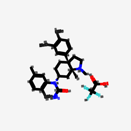 COc1ccc([C@@]23CC[C@@H](N(C(N)=O)c4cc(C)ccc4OC)C[C@@H]2N(C)CC3)cc1OC.O=C(O)C(F)(F)F